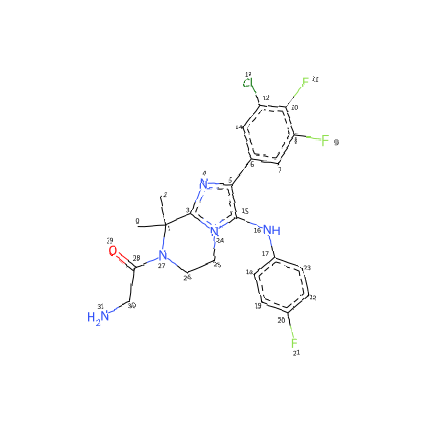 CC1(C)c2nc(-c3cc(F)c(F)c(Cl)c3)c(Nc3ccc(F)cc3)n2CCN1C(=O)CN